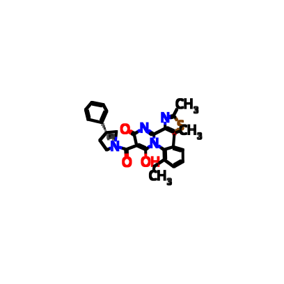 CCc1cccc(CC)c1-n1c(-c2csc(C)n2)nc(=O)c(C(=O)N2CC[C@H](c3ccccc3)C2)c1O